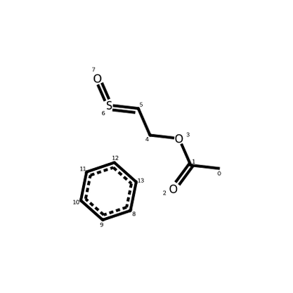 CC(=O)OCC=S=O.c1ccccc1